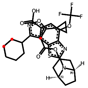 O=C(O)c1cc(OC(F)(F)F)c2nc(N3[C@@H]4CC[C@H]3CC(OC(=O)c3c(C56CCC(CC5)CC6)noc3C3CC3)C4)sc2c1